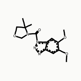 COc1cc2nnn(C(=O)N3COCC3(C)C)c2cc1OC